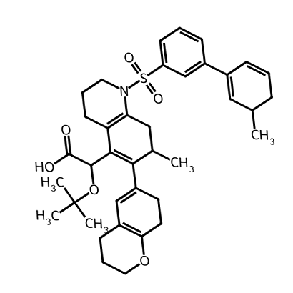 CC1C=C(c2cccc(S(=O)(=O)N3CCCC4=C3CC(C)C(C3=CC5=C(CC3)OCCC5)=C4C(OC(C)(C)C)C(=O)O)c2)C=CC1